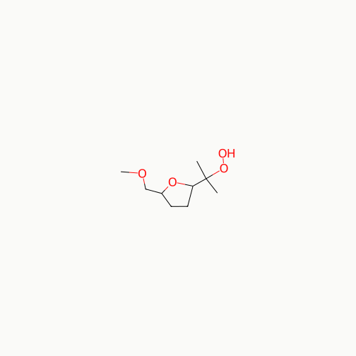 COCC1CCC(C(C)(C)OO)O1